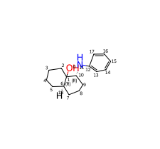 OC12CCCC[C@@H]1CCC[C@H]2Nc1ccccc1